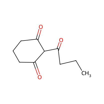 CCCC(=O)C1C(=O)CCCC1=O